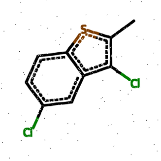 Cc1sc2ccc(Cl)cc2c1Cl